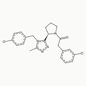 Cc1nnc([C@H]2CCCN2C(=O)Cc2cccc(Cl)c2)n1Cc1ccc(Cl)cc1